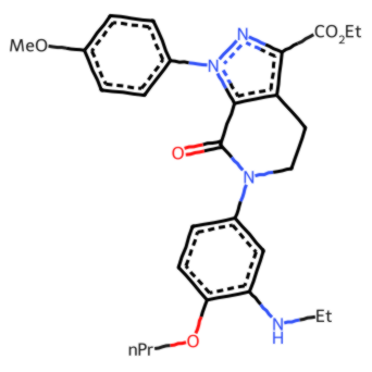 CCCOc1ccc(N2CCc3c(C(=O)OCC)nn(-c4ccc(OC)cc4)c3C2=O)cc1NCC